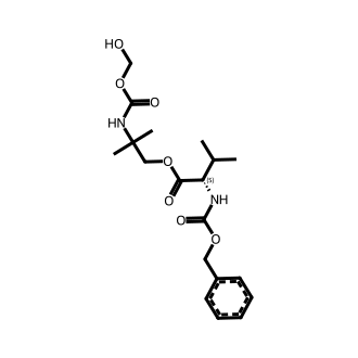 CC(C)[C@H](NC(=O)OCc1ccccc1)C(=O)OCC(C)(C)NC(=O)OCO